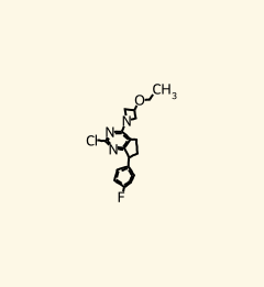 CCOC1CN(c2nc(Cl)nc3c2CCC3c2ccc(F)cc2)C1